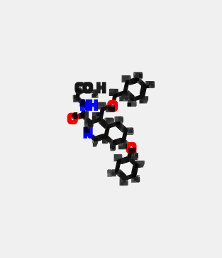 O=C(O)CNC(=O)c1ncc2cc(Oc3ccccc3)ccc2c1COCc1ccccc1